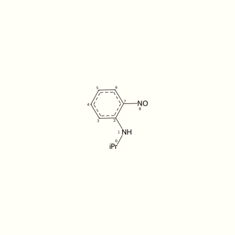 CC(C)Nc1ccccc1N=O